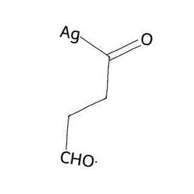 O=[C]CC[C](=O)[Ag]